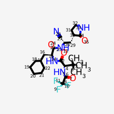 CC(C)(C)[C@H](NC(=O)C(F)(F)F)C(=O)N[C@@H](CC1CCCCC1)C(=O)N[C@H](C#N)C[C@@H]1CCNC1=O